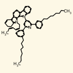 C/C=C\C=C/Cn1c2c(c3ccc4c5ccccc5n(-c5cc(-c6cccc(CCCCCCCC)c6)nc(-c6cccc(CCCCCCCC)c6)c5)c4c31)C=CCC2